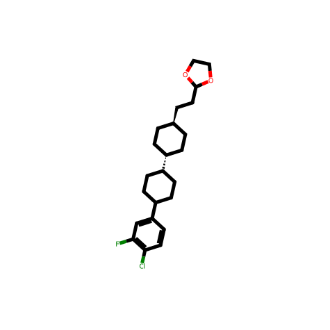 Fc1cc(C2CCC([C@H]3CC[C@H](CCC4OCCO4)CC3)CC2)ccc1Cl